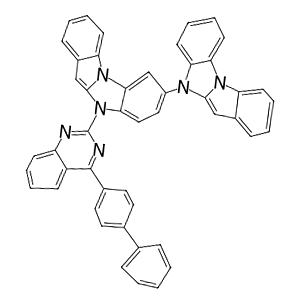 c1ccc(-c2ccc(-c3nc(-n4c5ccc(-n6c7ccccc7n7c8ccccc8cc67)cc5n5c6ccccc6cc45)nc4ccccc34)cc2)cc1